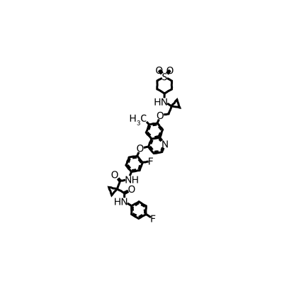 Cc1cc2c(Oc3ccc(NC(=O)C4(C(=O)Nc5ccc(F)cc5)CC4)cc3F)ccnc2cc1OCC1(NC2CCS(=O)(=O)CC2)CC1